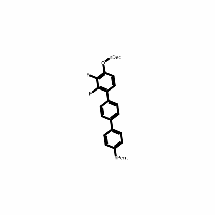 CCCCCCCCCCOc1ccc(-c2ccc(-c3ccc(CCCCC)cc3)cc2)c(F)c1F